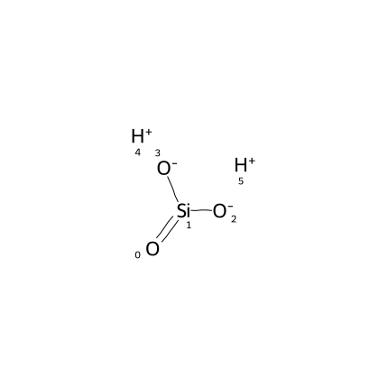 O=[Si]([O-])[O-].[H+].[H+]